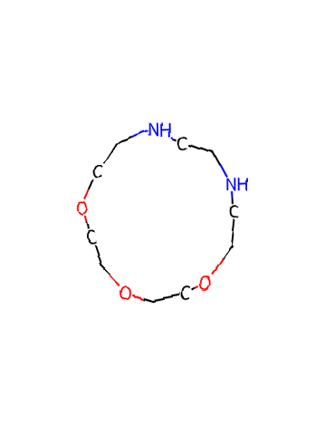 C1CNCCOCCOCCOCCN1